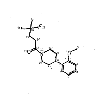 COc1ccccc1C1CCN(C(=O)CCC(C)(F)F)CC1